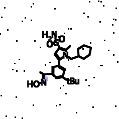 C/C(=N\O)c1cc(-c2cc(S(N)(=O)=O)c(C)n2CC2CCCCC2)cc(C(C)(C)C)c1